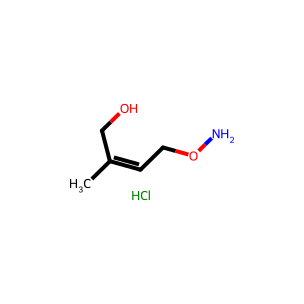 CC(=CCON)CO.Cl